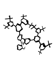 CC(C)(C)c1cc(-c2cc(-c3cc(C(C)(C)C)cc(C(C)(C)C)c3)cc(-c3ccc4c(c3)c3cc(-c5cc(-c6cc(C(C)(C)C)cc(C(C)(C)C)c6)cc(-c6cc(C(C)(C)C)cc(C(C)(C)C)c6)c5)ccc3n4-c3ccccc3F)c2)cc(C(C)(C)C)c1